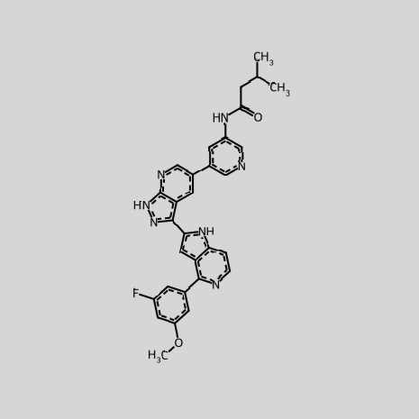 COc1cc(F)cc(-c2nccc3[nH]c(-c4n[nH]c5ncc(-c6cncc(NC(=O)CC(C)C)c6)cc45)cc23)c1